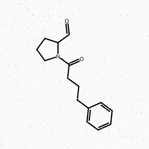 O=CC1CCCN1C(=O)CCCc1ccccc1